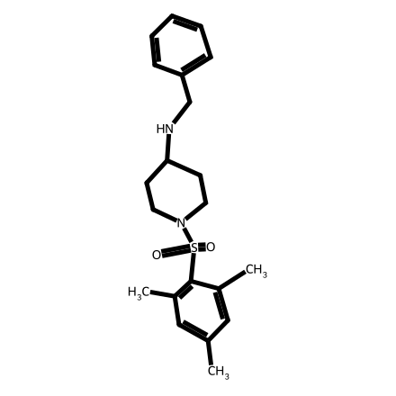 Cc1cc(C)c(S(=O)(=O)N2CCC(NCc3ccccc3)CC2)c(C)c1